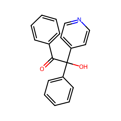 O=C(c1ccccc1)C(O)(c1ccccc1)c1ccncc1